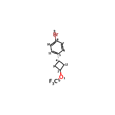 FC(F)(F)O[C@H]1C[C@H](c2ccc(Br)cc2)C1